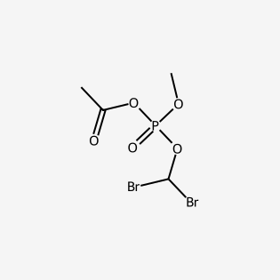 COP(=O)(OC(C)=O)OC(Br)Br